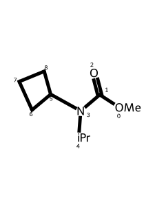 COC(=O)N(C(C)C)C1CCC1